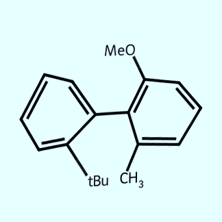 COc1cccc(C)c1-c1ccccc1C(C)(C)C